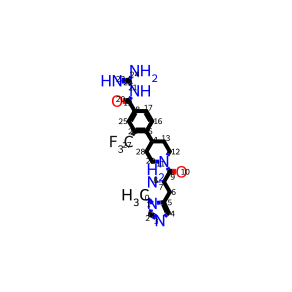 Cn1cncc1C[C@H](N)C(=O)N1CCC(c2ccc(C(=O)NC(=N)N)cc2C(F)(F)F)CC1